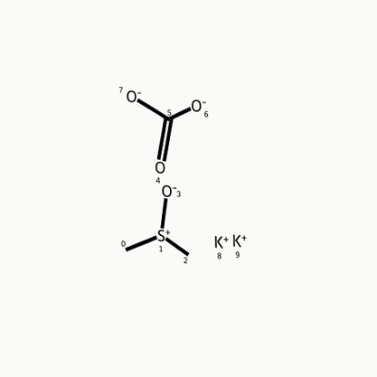 C[S+](C)[O-].O=C([O-])[O-].[K+].[K+]